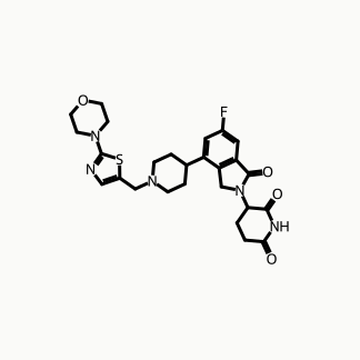 O=C1CCC(N2Cc3c(cc(F)cc3C3CCN(Cc4cnc(N5CCOCC5)s4)CC3)C2=O)C(=O)N1